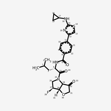 CC(C)C[C@H](NC(=O)c1ccc(-c2csc(NC3CC3)n2)cc1)C(=O)N1C[C@H](F)[C@H]2OCC(=O)C21